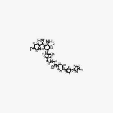 Cn1cnc(-c2ccc(C3=CCN(C(=O)CN4CC[C@]5(CCN(c6ccc(N)c(C(=N)c7ccc(F)cn7)c6)C5=O)C4)CC3)s2)n1